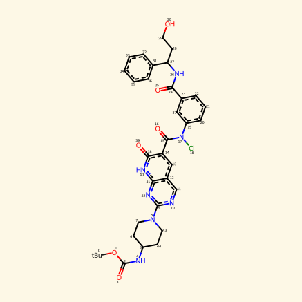 CC(C)(C)OC(=O)NC1CCN(c2ncc3cc(C(=O)N(Cl)c4cccc(C(=O)NC(CCO)c5ccccc5)c4)c(=O)[nH]c3n2)CC1